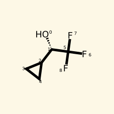 O[C@@H](C1CC1)C(F)(F)F